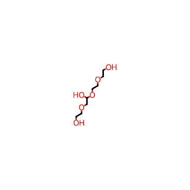 OCCOCCOC(O)COCCO